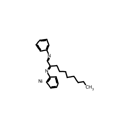 CCCCCCCCC(/C=N/c1ccccc1)=N\c1ccccc1.[Ni]